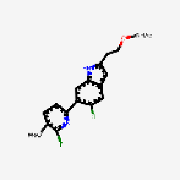 COc1ccc(-c2cc3[nH]c(CCONC(C)=O)cc3cc2Cl)nc1F